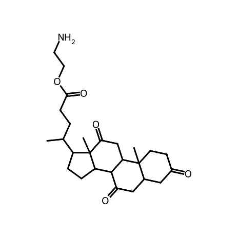 CC(CCC(=O)OCCN)C1CCC2C3C(=O)CC4CC(=O)CCC4(C)C3CC(=O)C12C